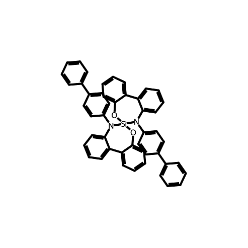 c1ccc(-c2ccc(N3c4ccccc4-c4ccccc4O[Si]34Oc3ccccc3-c3ccccc3N4c3ccc(-c4ccccc4)cc3)cc2)cc1